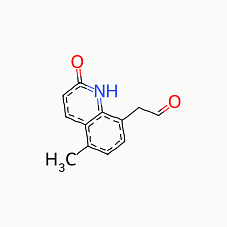 Cc1ccc(CC=O)c2[nH]c(=O)ccc12